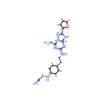 N#CCNc1ccc(CCNc2nc(N)n3nc(-c4ccco4)nc3n2)cc1